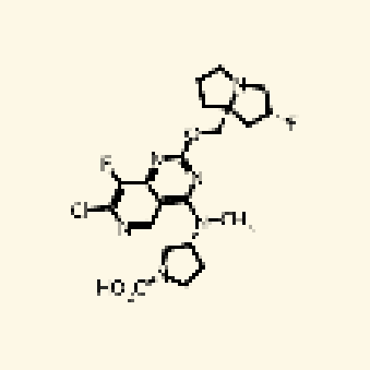 CN(c1nc(OC[C@@]23CCCN2C[C@H](F)C3)nc2c(F)c(Cl)ncc12)[C@@H]1CCN(C(=O)O)C1